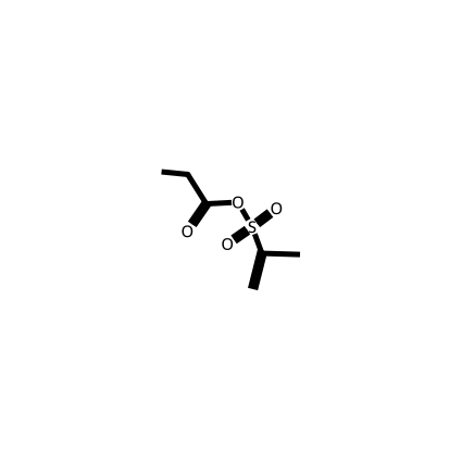 C=C(C)S(=O)(=O)OC(=O)CC